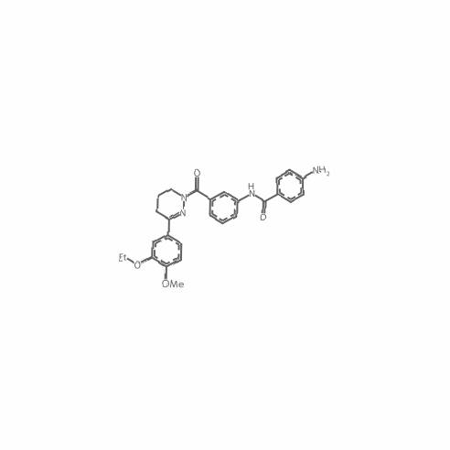 CCOc1cc(C2=NN(C(=O)c3cccc(NC(=O)c4ccc(N)cc4)c3)CCC2)ccc1OC